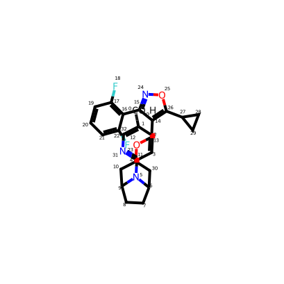 O=C(O)c1ccc(N2C3CCC2CC(OCc2c(-c4c(F)cccc4F)noc2C2CC2)C3)nc1